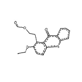 CCOc1ccc2sc3ccccc3c(=O)c2c1CCOC=O